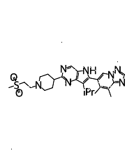 Cc1c(-c2[nH]c3cnc(C4CCN(CCS(C)(=O)=O)CC4)nc3c2C(C)C)cn2ncnc2c1C